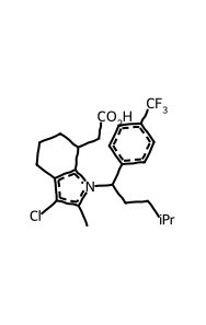 Cc1c(Cl)c2c(n1C(CCC(C)C)c1ccc(C(F)(F)F)cc1)C(CC(=O)O)CCC2